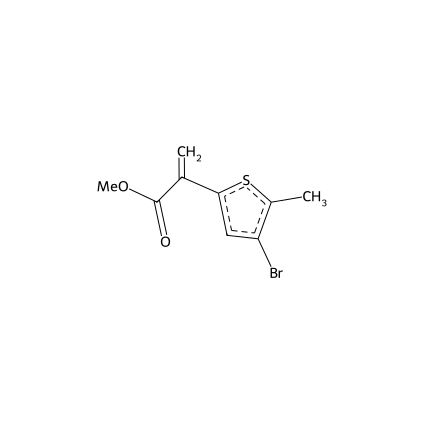 C=C(C(=O)OC)c1cc(Br)c(C)s1